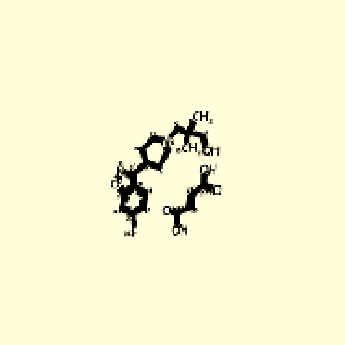 CC(C)(CO)CN1CCC(c2noc3cc(F)ccc23)CC1.O=C(O)C=CC(=O)O